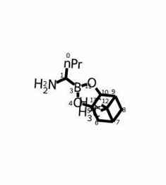 CCCC(N)B1OC2CC3CC(C2O1)C3(C)C